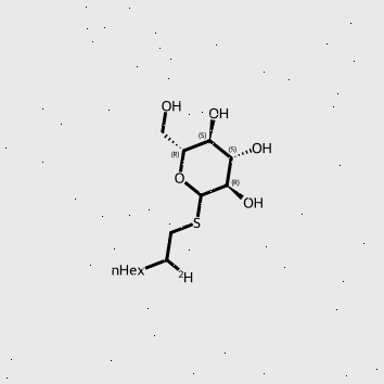 [2H]C(CCCCCC)CSC1O[C@H](CO)[C@@H](O)[C@H](O)[C@H]1O